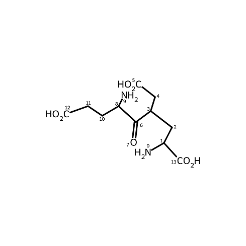 NC(CC(CC(=O)O)C(=O)C(N)CCC(=O)O)C(=O)O